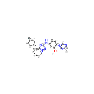 COc1cc(Nc2nc3n(n2)CC=CC[C@@H]3c2ccc(F)cc2)ccc1-n1cnc(C)n1